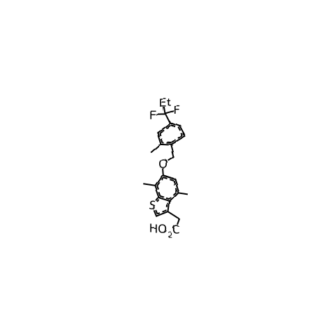 CCC(F)(F)c1ccc(COc2cc(C)c3c(CC(=O)O)csc3c2C)c(C)c1